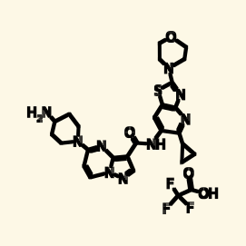 NC1CCN(c2ccn3ncc(C(=O)Nc4cc5sc(N6CCOCC6)nc5nc4C4CC4)c3n2)CC1.O=C(O)C(F)(F)F